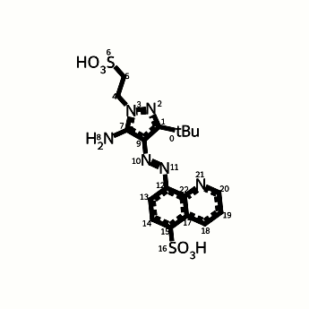 CC(C)(C)c1nn(CCS(=O)(=O)O)c(N)c1N=Nc1ccc(S(=O)(=O)O)c2cccnc12